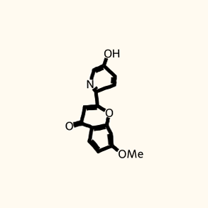 COc1ccc2c(=O)cc(-c3ccc(O)cn3)oc2c1